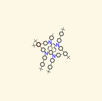 Cc1ccc(N(C2=C3C=Cc4c(N(c5ccc(-c6ccc(C(C)(C)C)cc6)cc5)c5ccc(-c6ccc(C(C)(C)C)cc6)cc5)cc(N(c5ccc(C)cc5)c5ccc(-c6ccc(C(C)(C)C)cc6)cc5)c5c4C3C(=CC5)C(N(c3ccc(-c4ccc(C(C)(C)C)cc4)cc3)c3ccc(-c4ccc(C(C)(C)C)cc4)cc3)=C2)c2ccc(-c3ccc(C(C)(C)C)cc3)cc2)cc1